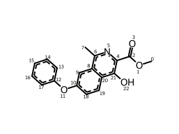 COC(=O)c1nc(C)c2cc(Oc3ccccc3)ccc2c1O